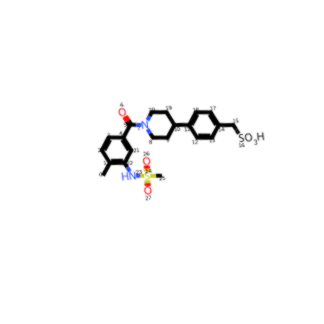 Cc1ccc(C(=O)N2CCC(c3ccc(CS(=O)(=O)O)cc3)CC2)cc1NS(C)(=O)=O